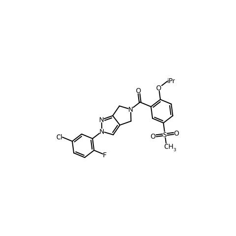 CC(C)Oc1ccc(S(C)(=O)=O)cc1C(=O)N1Cc2cn(-c3cc(Cl)ccc3F)nc2C1